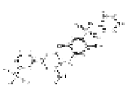 CN[C@H]1C[C@@H](c2cccc(C(F)(F)F)c2)CC[C@@H]1Oc1cc(F)c(S(=O)(=O)Nc2ccncn2)cc1Cl